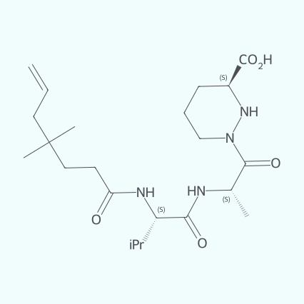 C=CCC(C)(C)CCC(=O)N[C@H](C(=O)N[C@@H](C)C(=O)N1CCC[C@@H](C(=O)O)N1)C(C)C